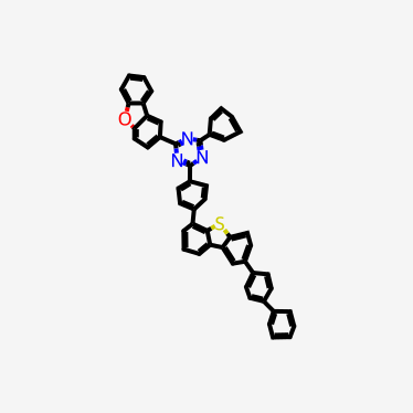 c1ccc(-c2ccc(-c3ccc4sc5c(-c6ccc(-c7nc(-c8ccccc8)nc(-c8ccc9oc%10ccccc%10c9c8)n7)cc6)cccc5c4c3)cc2)cc1